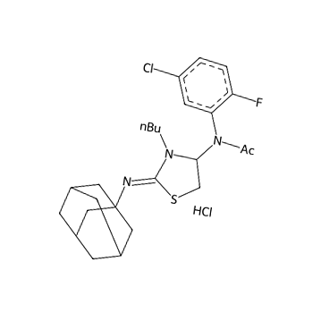 CCCCN1C(=NC23CC4CC(CC(C4)C2)C3)SCC1N(C(C)=O)c1cc(Cl)ccc1F.Cl